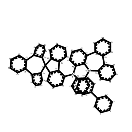 c1ccc(-c2ccc(N(c3cccc4c3-c3ccccc3C43c4ccccc4-c4ccccc4-c4ccccc43)c3cccc4c3N(c3ccccc3)c3ccccc3-c3ccccc3-4)cc2)cc1